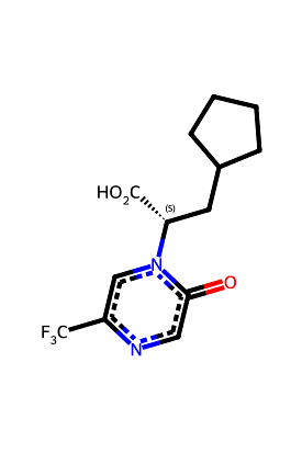 O=C(O)[C@H](CC1CCCC1)n1cc(C(F)(F)F)ncc1=O